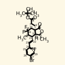 C[C@H]1OC(=O)[C@]2(CCC(=O)OC(C)(C)C)CC(F)(F)[C@@H](C)[C@H](/C=C/c3ccc(Br)cn3)[C@H]12